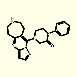 O=C1CN(c2c3c(nc4ccnn24)CCNCC3)CCN1c1ccccc1